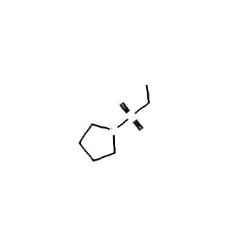 C[CH]S(=O)(=O)N1CCCC1